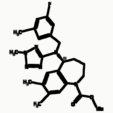 Cc1cc(F)cc(CN(c2nnn(C)n2)[C@H]2CCCN(C(=O)OC(C)(C)C)c3cc(C(F)(F)F)c(C)cc32)c1